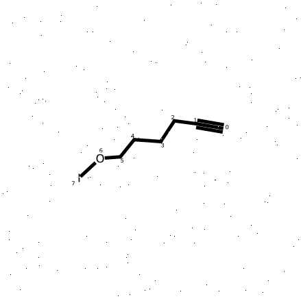 C#CCCCCOI